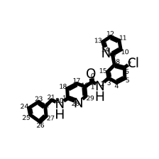 O=C(Nc1ccc(Cl)c(-c2ccccn2)c1)c1ccc(NCc2ccccc2)nc1